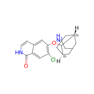 NC12CC3C[C@@H](C1)C(Oc1cc4cc[nH]c(=O)c4cc1Cl)[C@@H](C3)C2